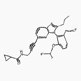 CCCc1nc2ccc(C#CCNC(=O)C3CC3)cc2n1-c1c(C=O)cccc1OC(F)F